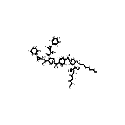 CCCCCCCO[C@@H]1CN(C(=O)c2ccc(C(=O)N3C[C@@H](C(=O)N[C@H]4C[C@@H]4c4ccccc4)[C@H](C(=O)N[C@H]4C[C@@H]4c4ccccc4)C3)cc2)C[C@H]1C(=O)NCCCCCC